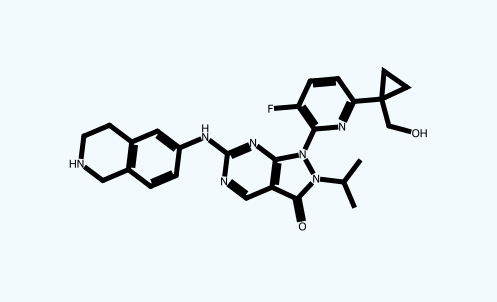 CC(C)n1c(=O)c2cnc(Nc3ccc4c(c3)CCNC4)nc2n1-c1nc(C2(CO)CC2)ccc1F